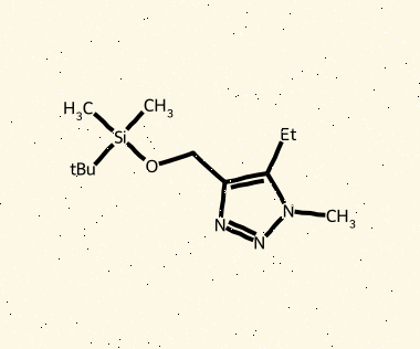 CCc1c(CO[Si](C)(C)C(C)(C)C)nnn1C